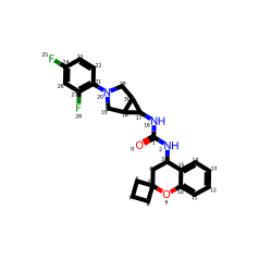 O=C(NC1CC2(CCC2)Oc2ccccc21)NC1C2CN(c3ccc(F)cc3F)CC21